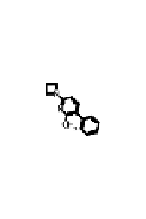 Cc1nc(N2CCC2)ccc1-c1cc[c]cc1